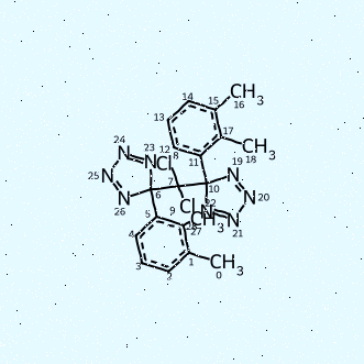 Cc1cccc(C2(C(Cl)(Cl)C3(c4cccc(C)c4C)N=NN=N3)N=NN=N2)c1C